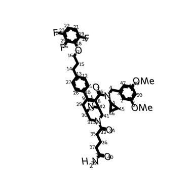 COc1cc(CN(C(=O)C2=C(c3ccc(CCCOc4c(F)ccc(F)c4F)cc3)CC3CN(C(=O)CCCC(N)=O)CC2N3)C2CC2)cc(OC)c1